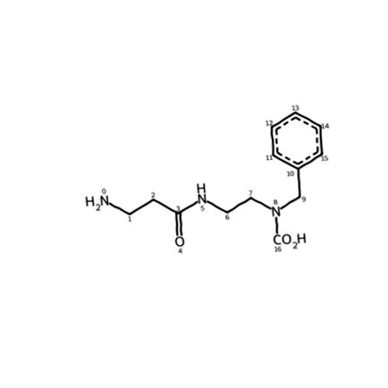 NCCC(=O)NCCN(Cc1ccccc1)C(=O)O